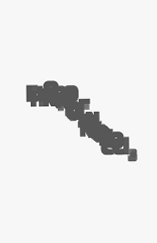 CCC(=O)NC1CN(c2ccc(-c3cnc(N4CCN(C(=O)C(Cl)(Cl)Cl)CC4)nc3)c(F)c2)C(=O)O1